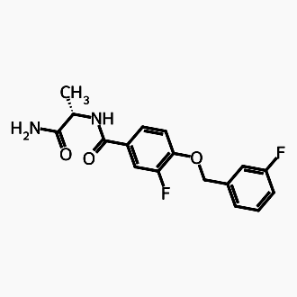 C[C@H](NC(=O)c1ccc(OCc2cccc(F)c2)c(F)c1)C(N)=O